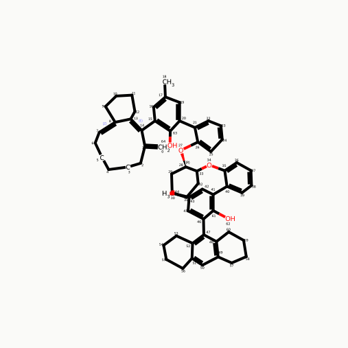 C=C1CCCCC/C=C2/CCCC/C2=C/1c1cc(C)cc(-c2ccccc2O[C@@H]2CCCCC2Oc2ccccc2-c2cc(C)cc(-c3c4c(cc5c3CCCC5)CCCC4)c2O)c1O